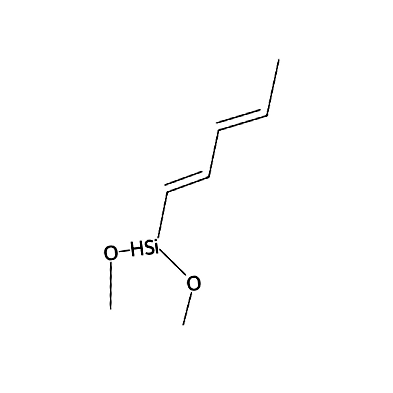 CC=CC=C[SiH](OC)OC